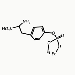 CCOP(=O)(OCC)Oc1ccc(CC(N)C(=O)O)cc1